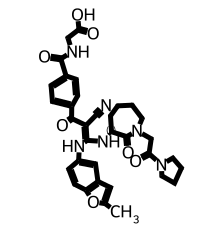 Cc1cc2cc(NC(N[C@H]3CCCCN(CC(=O)N4CCCC4)C3=O)=C(C#N)C(=O)c3ccc(C(=O)NCC(=O)O)cc3)ccc2o1